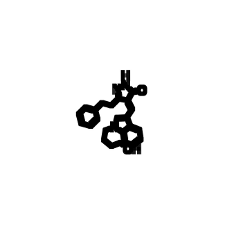 O=C1NN=C(CCc2ccccc2)C1=Cc1cn(CCCCO)c2ccccc12